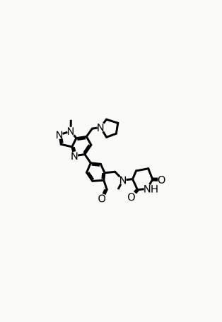 CN(Cc1cc(-c2cc(CN3CCCC3)c3c(cnn3C)n2)ccc1C=O)C1CCC(=O)NC1=O